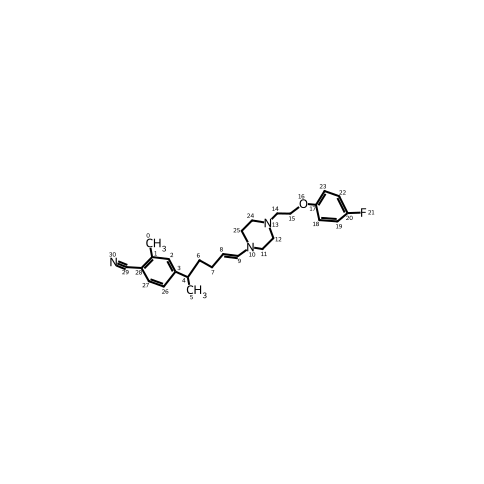 Cc1cc(C(C)CCC=CN2CCN(CCOc3ccc(F)cc3)CC2)ccc1C#N